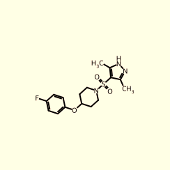 Cc1n[nH]c(C)c1S(=O)(=O)N1CCC(Oc2ccc(F)cc2)CC1